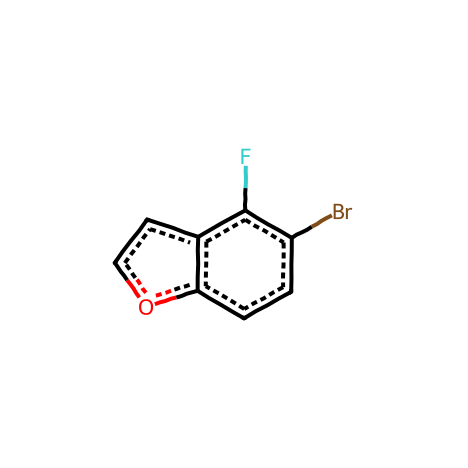 Fc1c(Br)ccc2occc12